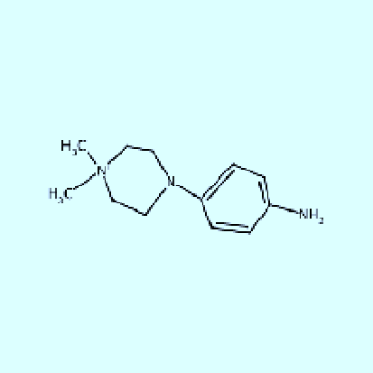 C[N+]1(C)CCN(c2ccc(N)cc2)CC1